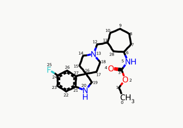 CCOC(=O)NC1CCCCC(CN2CCC3(CC2)CNc2ccc(F)cc23)C1